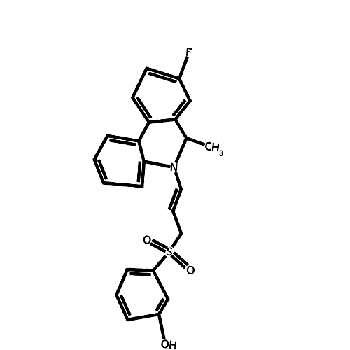 CC1c2cc(F)ccc2-c2ccccc2N1C=CCS(=O)(=O)c1cccc(O)c1